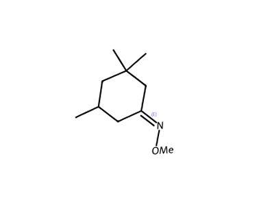 [CH2]O/N=C1\CC(C)CC(C)(C)C1